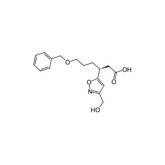 O=C(O)C[C@H](CCCOCc1ccccc1)c1cc(CO)no1